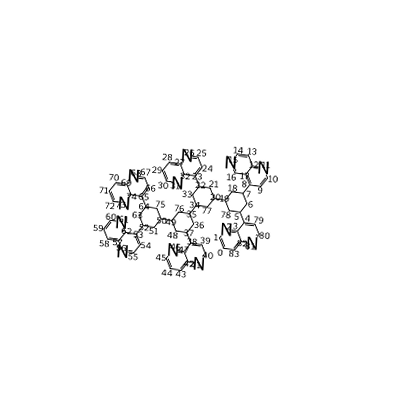 c1cnc2c(C3CC(c4ccnc5ccncc45)CC(C4CC(c5ccnc6cccnc56)CC(C5CC(c6ccnc7cccnc67)CC(C6CC(c7ccnc8cccnc78)CC(c7ccnc8cccnc78)C6)C5)C4)C3)ccnc2c1